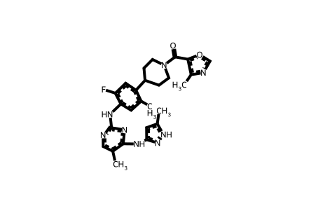 Cc1cc(Nc2nc(Nc3cc(C)c(C4CCN(C(=O)c5ocnc5C)CC4)cc3F)ncc2C)n[nH]1